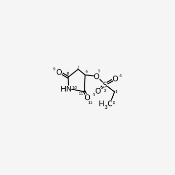 CCS(=O)(=O)OC1CC(=O)NC1=O